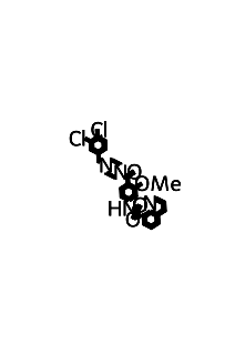 COc1cc(NS(=O)(=O)c2cccc3cccnc23)ccc1C(=O)N1CCN(Cc2ccc(Cl)c(Cl)c2)CC1